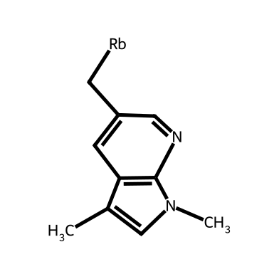 Cc1cn(C)c2ncc([CH2][Rb])cc12